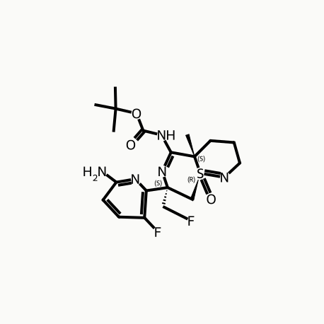 CC(C)(C)OC(=O)NC1=N[C@](CF)(c2nc(N)ccc2F)C[S@]2(=O)=NCCC[C@@]12C